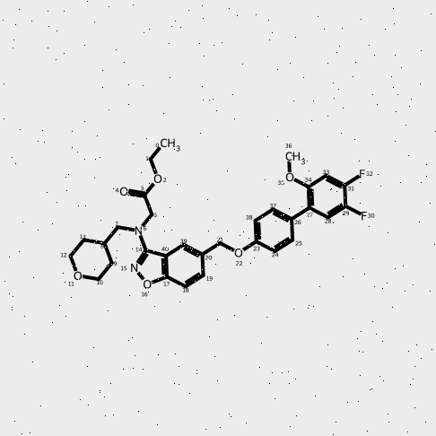 CCOC(=O)CN(CC1CCOCC1)c1noc2ccc(COc3ccc(-c4cc(F)c(F)cc4OC)cc3)cc12